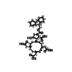 O=C(O)CN1CCN(CC(=O)O)CCN([C@@H]2[C@@H](O)CN(C(=O)OCC3c4ccccc4-c4ccccc43)[C@H]2C(=O)O)CCN(CC(=O)O)CC1